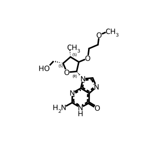 COCCOC1[C@@H](C)[C@@H](CO)O[C@H]1n1cnc2c(=O)[nH]c(N)nc21